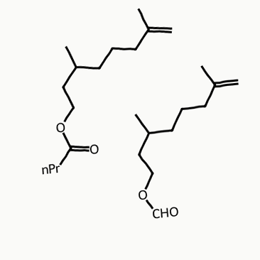 C=C(C)CCCC(C)CCOC(=O)CCC.C=C(C)CCCC(C)CCOC=O